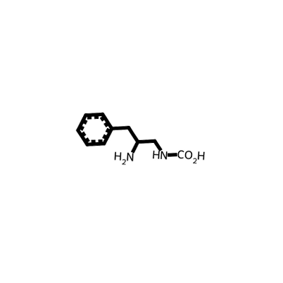 NC(CNC(=O)O)Cc1ccccc1